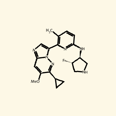 COc1cc2ncc(-c3nc(N[C@H]4CNC[C@@H]4F)ccc3C)n2nc1C1CC1